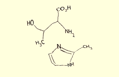 CC(O)C(N)C(=O)O.Cc1ncc[nH]1